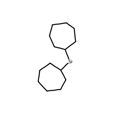 C1CCCC([Si]C2CCCCCC2)CC1